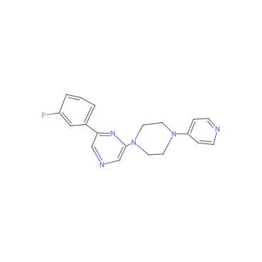 Fc1cccc(-c2cncc(N3CCN(c4ccncc4)CC3)n2)c1